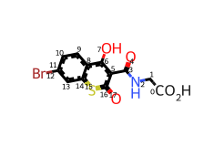 O=C(O)CNC(=O)c1c(O)c2ccc(Br)cc2sc1=O